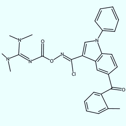 Cc1ccccc1C(=O)c1ccc2c(c1)c(/C(Cl)=N/OC(=O)N=C(N(C)C)N(C)C)cn2-c1ccccc1